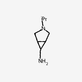 CC(C)N1CC2C(N)C2C1